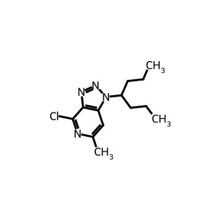 CCCC(CCC)n1nnc2c(Cl)nc(C)cc21